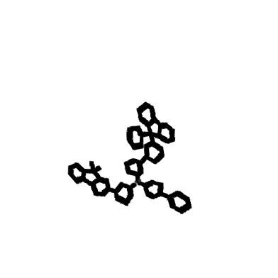 CC1(C)c2ccccc2-c2ccc(-c3cccc(N(c4ccc(-c5ccccc5)cc4)c4cccc(-c5cccc(C6(c7ccccc7)c7ccccc7-c7ccccc76)c5)c4)c3)cc21